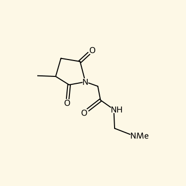 CNCNC(=O)CN1C(=O)CC(C)C1=O